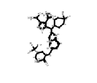 CC(C)c1noc(C(c2cn3nc(CC4C[C@@H](C(F)(F)F)CNC4=O)ccc3n2)C2CCC(F)(F)CC2)c1C(N)=O